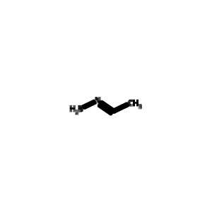 BN=CC